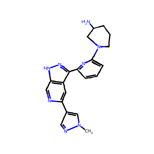 Cn1cc(-c2cc3c(-c4cccc(N5CCCC(N)C5)n4)n[nH]c3cn2)cn1